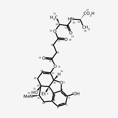 CC[C@]12c3c4ccc(O)c3O[C@H]1C(OC(=O)CCC(=O)O[C@@H](C)C(=O)N[C@@H](C)C(=O)O)=CC[C@@]2(O)[C@H](NC)C4